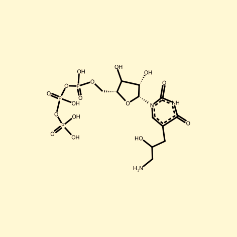 NCC(O)Cc1cn([C@@H]2O[C@H](COP(=O)(O)OP(=O)(O)OP(=O)(O)O)C(O)[C@@H]2O)c(=O)[nH]c1=O